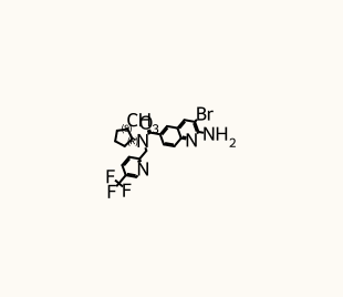 C[C@H]1CCC[C@H]1N(Cc1ccc(C(F)(F)F)cn1)C(=O)c1ccc2nc(N)c(Br)cc2c1